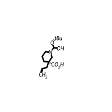 C=CC[C@@]1(C(=O)O)CCCN(C(O)OC(C)(C)C)C1